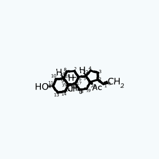 C=CC1CC[C@H]2[C@@H]3CC[C@H]4C[C@H](O)CC[C@]4(C)[C@H]3CCC12C(C)=O